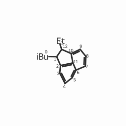 CCC(C)C1c2cccc3cccc(c23)C1CC